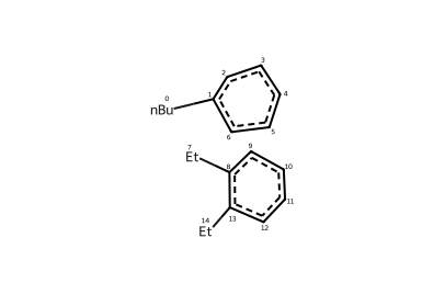 CCCCc1ccccc1.CCc1ccccc1CC